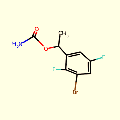 CC(OC(N)=O)c1cc(F)cc(Br)c1F